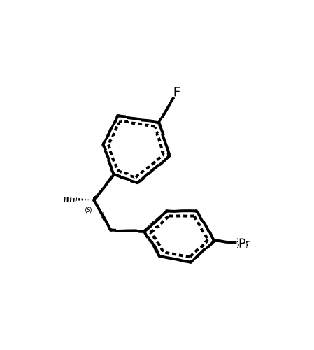 CC(C)c1ccc(C[C@H](C)c2ccc(F)cc2)cc1